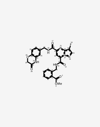 COC(=O)c1ccccc1CNC(=O)c1cc(C(=O)NCc2ccc3c(c2)NC(=O)CO3)nc2c(F)cnn12